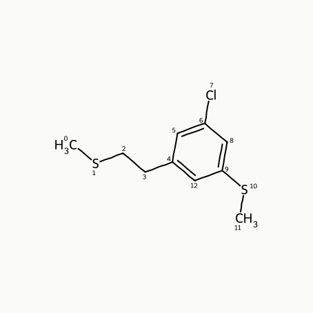 CSCCc1cc(Cl)cc(SC)c1